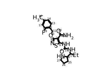 CCC(NC(=O)Nc1snc(OCc2ccc(C)cc2F)c1C(N)=O)C1CCCN1